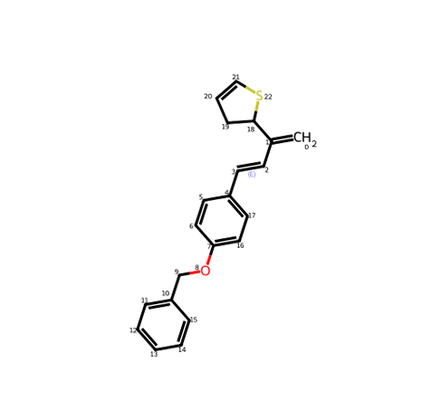 C=C(/C=C/c1ccc(OCc2ccccc2)cc1)C1CC=CS1